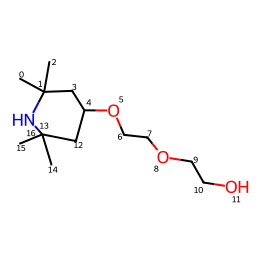 CC1(C)CC(OCCOCCO)CC(C)(C)N1